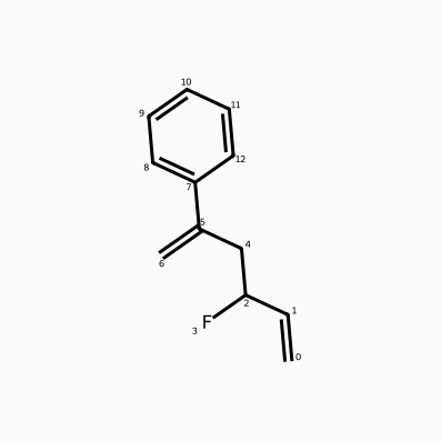 C=CC(F)CC(=C)c1ccccc1